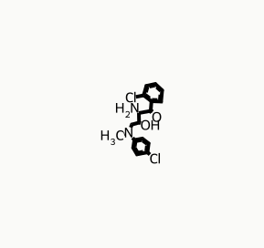 CN(CC(O)C(N)C(=O)c1ccccc1Cl)c1ccc(Cl)cc1